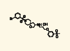 CS(=O)(=O)c1cccc(OC[C@@H](O)CNC2COC3(CCN(S(=O)(=O)c4cccc(Br)c4)CC3)C2)c1